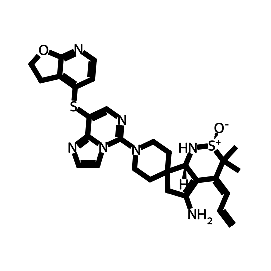 C=C/C=C1\C2=C(N)CC3(CCN(c4ncc(Sc5ccnc6c5CCO6)c5nccn45)CC3)[C@@H]2N[S@+]([O-])C1(C)C